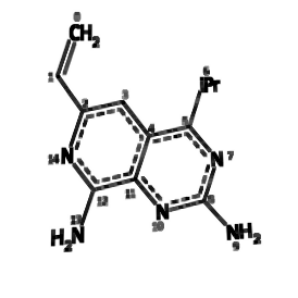 C=Cc1cc2c(C(C)C)nc(N)nc2c(N)n1